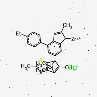 CC1=C2c3cc(C)sc3C1[Si]2(C)C.CCc1ccc(-c2cccc3c2C=C(C)[CH]3[Zr+2])cc1.[Cl-].[Cl-]